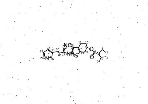 CC1CCCN1C(=O)OC1CCc2c(sc(NC(=O)C=Cc3cccnc3)c2C#N)C1